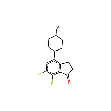 CCCC1CCC(c2cc(F)c(F)c3c2CCC3=O)CC1